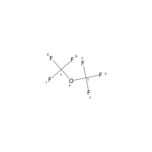 FC(F)(F)OC(F)(F)F